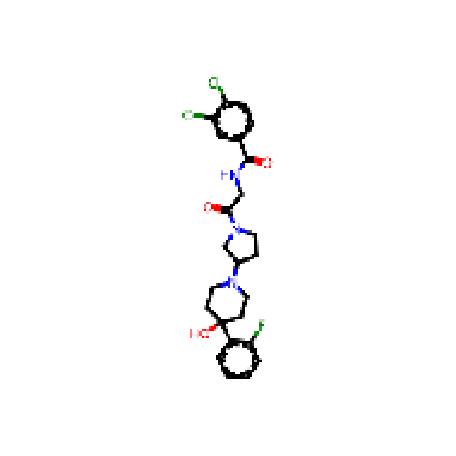 O=C(NCC(=O)N1CCC(N2CCC(O)(c3ccccc3F)CC2)C1)c1ccc(Cl)c(Cl)c1